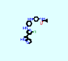 O=C(NC1CCC(NC2CCC(Nc3cc(-c4c[nH]c5ncccc45)cc(Cl)n3)CC2)CC1)C1CC1